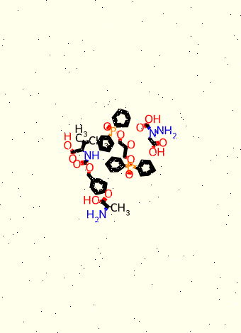 CC(C)[C@H](NC(=O)OCc1ccccc1)C(=O)O.C[C@H](N)C(=O)O.NN(CC(=O)O)C(=O)O.O=C(COP(=O)(c1ccccc1)c1ccccc1)COP(=O)(c1ccccc1)c1ccccc1